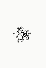 COC(=O)C1(C(C)C)CCCC1OC(C)=O